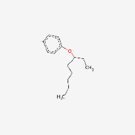 CCCCCC(CC)Oc1cc[c]cc1